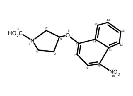 O=C(O)N1CCC(Oc2ccc([N+](=O)[O-])c3ccccc23)C1